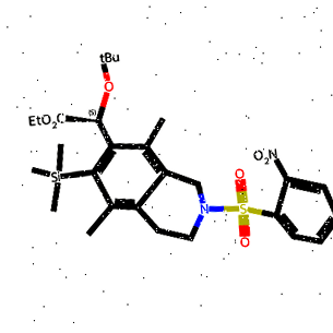 CCOC(=O)[C@@H](OC(C)(C)C)c1c(C)c2c(c(C)c1[Si](C)(C)C)CCN(S(=O)(=O)c1ccccc1[N+](=O)[O-])C2